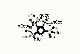 CCCCCCCCOP(=O)(OCCCCCCCC)c1[c]([Sn]([CH2]CCC)([CH2]CCC)[CH2]CCC)s[c]([Sn]([CH2]CCC)([CH2]CCC)[CH2]CCC)c1P(=O)(OCCCCCCCC)OCCCCCCCC